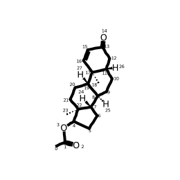 CC(=O)OC1CC[C@H]2[C@@H]3CC[C@H]4CC(=O)C=C[C@]4(C)[C@H]3CC[C@]12C